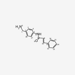 NCc1ccc(NC(=O)C=Cc2ccccc2)cc1